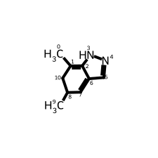 CC1=c2[nH]ncc2=CC(C)C1